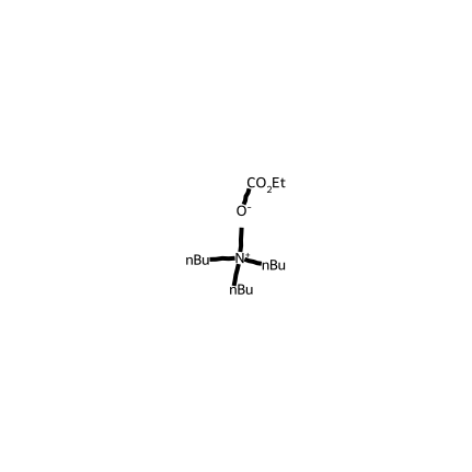 CCCC[N+](C)(CCCC)CCCC.CCOC(=O)[O-]